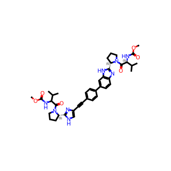 COC(=O)NC(C(=O)N1CCC[C@H]1c1nc(C#Cc2ccc(-c3ccc4nc([C@@H]5CCCN5C(=O)[C@@H](NC(=O)OC)C(C)C)[nH]c4c3)cc2)c[nH]1)C(C)C